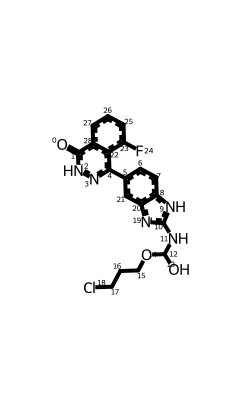 O=c1[nH]nc(-c2ccc3[nH]c(NC(O)OCCCCl)nc3c2)c2c(F)cccc12